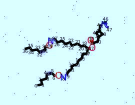 CCCC/C=C\CO/N=C\CCCCCCCCC(CCCCCCCC/C=N\OC/C=C\CCCC)OC(=O)CC1CC(CN(C)C)C1